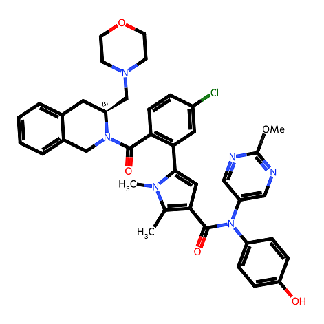 COc1ncc(N(C(=O)c2cc(-c3cc(Cl)ccc3C(=O)N3Cc4ccccc4C[C@H]3CN3CCOCC3)n(C)c2C)c2ccc(O)cc2)cn1